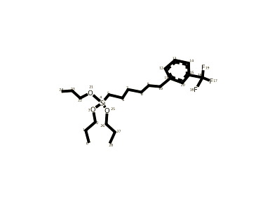 CCCO[Si](CCCCCCc1cccc(C(F)(F)F)c1)(OCCC)OCCC